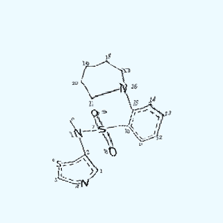 CN(c1cncs1)S(=O)(=O)c1ccccc1N1CCCCC1